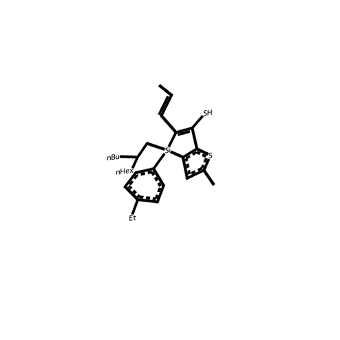 CC=CC1=C(S)c2sc(C)cc2[Si]1(CC(CCCC)CCCCCC)c1ccc(CC)cc1